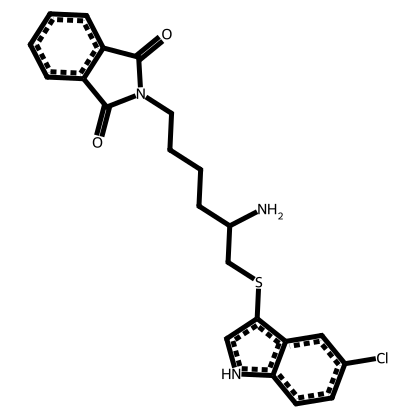 NC(CCCCN1C(=O)c2ccccc2C1=O)CSc1c[nH]c2ccc(Cl)cc12